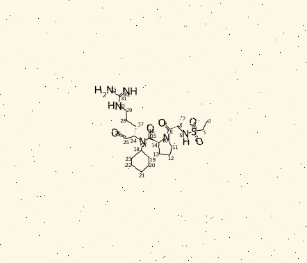 CCS(=O)(=O)N[C@@H](C)C(=O)N1CCC[C@H]1C(=O)N(C1CCCCC1)[C@H](C=O)CCCNC(=N)N